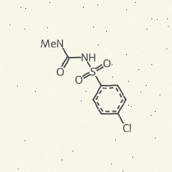 [CH2]NC(=O)NS(=O)(=O)c1ccc(Cl)cc1